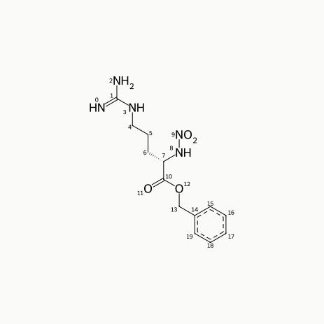 N=C(N)NCCC[C@H](N[N+](=O)[O-])C(=O)OCc1ccccc1